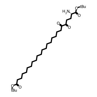 CC(C)(C)OC(=O)CCCCCCCCCCCCCCCCCCC(=O)C(=O)CC[C@H](N)C(=O)OC(C)(C)C